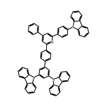 c1ccc(-c2cc(-c3ccc(-c4cc(-n5c6ccccc6c6ccccc65)cc(-n5c6ccccc6c6ccccc65)c4)cc3)nc(-c3ccc(-n4c5ccccc5c5ccccc54)cc3)c2)cc1